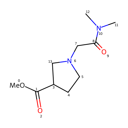 COC(=O)C1CCN(CC(=O)N(C)C)C1